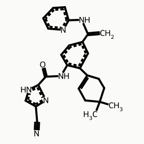 C=C(Nc1ccccn1)c1ccc(NC(=O)c2nc(C#N)c[nH]2)c(C2=CCC(C)(C)CC2)c1